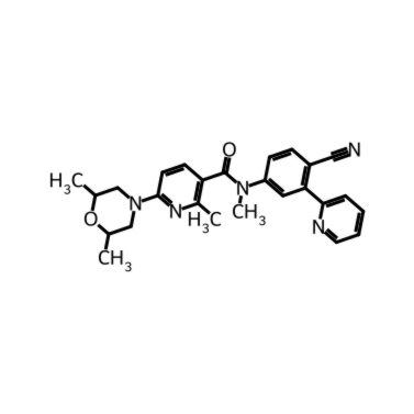 Cc1nc(N2CC(C)OC(C)C2)ccc1C(=O)N(C)c1ccc(C#N)c(-c2ccccn2)c1